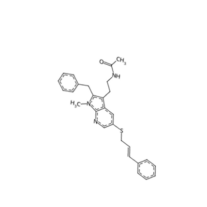 CC(=O)NCCc1c(Cc2ccccc2)n(C)c2ncc(SCC=Cc3ccccc3)cc12